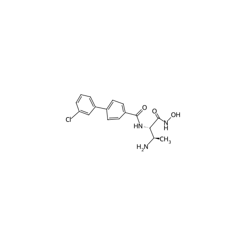 C[C@@H](N)[C@H](NC(=O)c1ccc(-c2cccc(Cl)c2)cc1)C(=O)NO